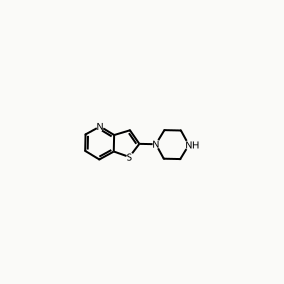 c1cnc2cc(N3CCNCC3)sc2c1